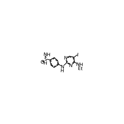 CCNc1nc(Nc2ccc([SH](=N)=O)cc2)ncc1I